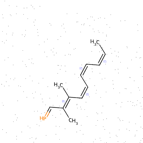 C\C=C/C=C\C=C/C(C)=C(\C)C=P